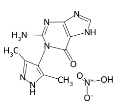 Cc1n[nH]c(C)c1-n1c(N)nc2nc[nH]c2c1=O.O=[N+]([O-])O